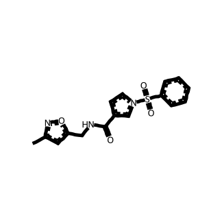 Cc1cc(CNC(=O)c2ccn(S(=O)(=O)c3ccccc3)c2)on1